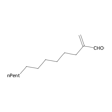 C=C([C]=O)CCCCCCCCCCC